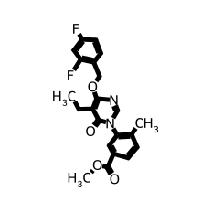 CCc1c(OCc2ccc(F)cc2F)ncn(-c2cc(C(=O)OC)ccc2C)c1=O